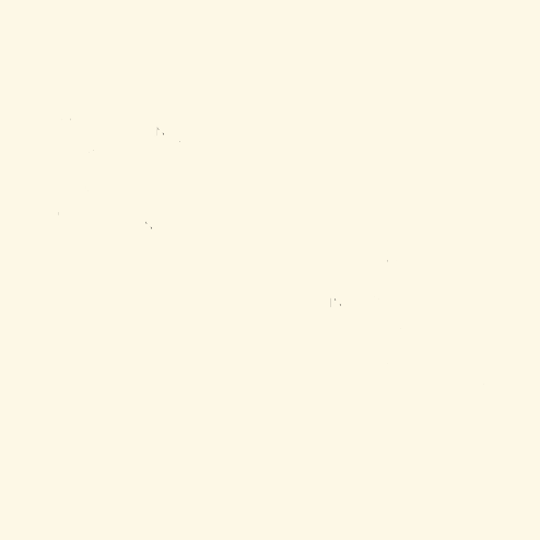 Nc1c(N2CCc3ccc(CNC(=O)c4cc5sccc5s4)cc3C2)c(=O)c1=O